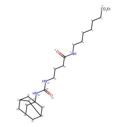 CCOC(=O)CCCCCCNC(=O)CCCNC(=O)NC12CC3CC(CC(C3)C1)C2